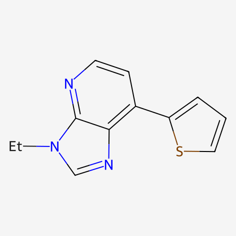 CCn1cnc2c(-c3cccs3)ccnc21